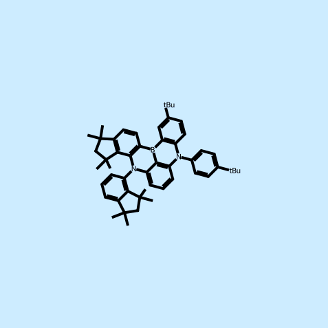 CC(C)(C)c1ccc(N2c3ccc(C(C)(C)C)cc3B3c4ccc5c(c4N(c4cccc6c4C(C)(C)CC6(C)C)c4cccc2c43)C(C)(C)CC5(C)C)cc1